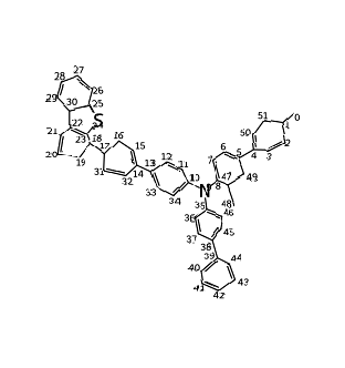 CC1C=CC(C2=CC=C(N(c3ccc(C4=CCC(C5CC=CC6=C5SC5C=CC=CC65)C=C4)cc3)c3ccc(-c4ccccc4)cc3)C(C)C2)=CC1